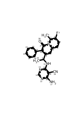 Cc1c(F)ccc2cc(C(C)Nc3ncnc(N)c3C#N)c(-c3ccccc3)c(=O)n12